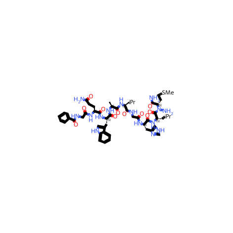 CSCC[C@@H](C(N)=O)N(N)C(=O)[C@H](CC(C)C)NC(=O)[C@H](Cc1c[nH]cn1)NC(=O)CNC(=O)[C@@H](NC(=O)[C@H](C)NC(=O)[C@H](Cc1c[nH]c2ccccc12)NC(=O)[C@H](CCC(N)=O)NC(=O)CNC(=O)c1ccccc1)C(C)C